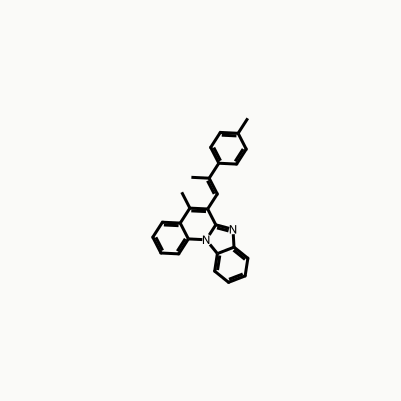 C/C(=C\c1c(C)c2ccccc2n2c1nc1ccccc12)c1ccc(C)cc1